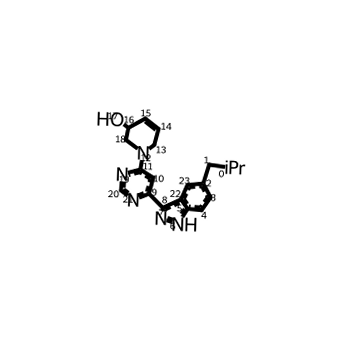 CC(C)Cc1ccc2[nH]nc(-c3cc(N4CC=CC(O)C4)ncn3)c2c1